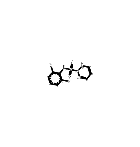 O=S(=O)(Nc1c(Cl)cccc1Br)N1N=CC=CN1